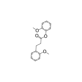 COc1ccccc1CCC(=O)Oc1ccccc1OC